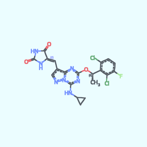 C[C@@H](Oc1nc(NC2CC2)n2ncc(/C=C3\NC(=O)NC3=O)c2n1)c1c(Cl)ccc(F)c1Cl